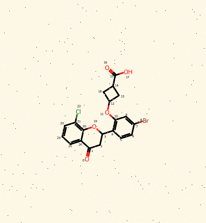 O=C1CC(c2ccc(Br)cc2OC2CC(C(=O)O)C2)Oc2c(Cl)cccc21